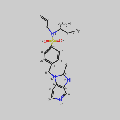 C=CCN([C@@H](CC(C)C)C(=O)O)S(=O)(=O)c1ccc(CN2c3ccncc3NC2C)cc1